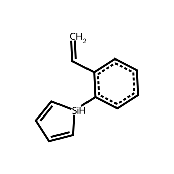 C=Cc1ccccc1[SiH]1C=CC=C1